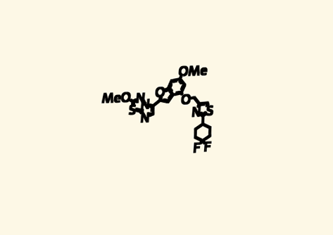 COc1cc(OCc2csc(C3CCC(F)(F)CC3)n2)c2cc(-c3cnc4sc(OC)nn34)oc2c1